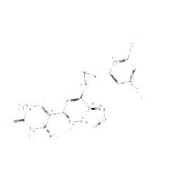 O=c1[nH]cc(-c2cc([C@H]3C[C@@H]3c3cc(F)cc(F)c3)c3nccn3n2)c(=O)[nH]1